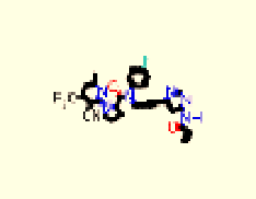 C=CC(=O)Nc1cc(C#CCN(C(=O)C2CCCN2c2nc(C)cc(C(F)(F)F)c2C#N)c2ccc(F)cc2)ncn1